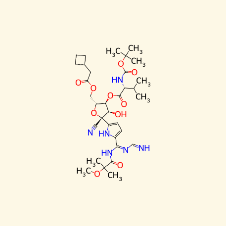 COC(C)(C)C(=O)N/C(=N/C=N)c1ccc([C@]2(C#N)O[C@H](COC(=O)CC3CCC3)[C@@H](OC(=O)[C@H](NC(=O)OC(C)(C)C)C(C)C)[C@H]2O)[nH]1